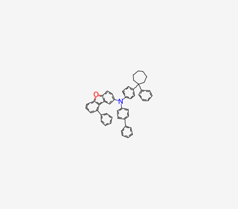 c1ccc(-c2ccc(N(c3ccc(C4(c5ccccc5)CCCCCC4)cc3)c3ccc4oc5cccc(-c6ccccc6)c5c4c3)cc2)cc1